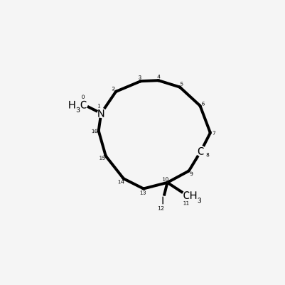 CN1CCCCCCCCC(C)(I)CCCC1